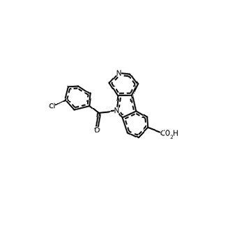 O=C(O)c1ccc2c(c1)c1ccncc1n2C(=O)c1cccc(Cl)c1